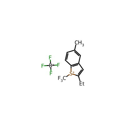 CCc1cc2cc(C)ccc2[s+]1C(F)(F)F.F[B-](F)(F)F